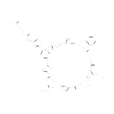 CNC(=O)C[C@@H]1NC(=O)c2csc(n2)-c2ccc(-c3nc(NC(=O)CCCC(=O)O)cs3)nc2-c2csc(n2)-c2csc(n2)[C@H]([C@@H](O)c2ccccc2)NC(=O)CNC(=O)c2nc(sc2COC)[C@H](C(C)C)NC(=O)c2nc1sc2C